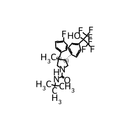 CC(C)(C)NC(=O)N1C[C@@H](c2ccc(C(O)(C(F)(F)F)C(F)(F)F)cc2)[C@@](C)(c2ccc(F)cc2)C1